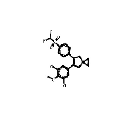 COc1c(Cl)cc(C2=C(c3ccc(S(=O)(=O)C(F)F)cc3)CC3(CC3)C2)cc1Cl